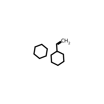 C1CCCCC1.C=C[C]1CCCCC1